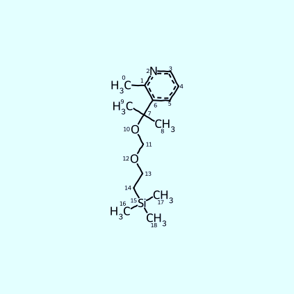 Cc1ncccc1C(C)(C)OCOCC[Si](C)(C)C